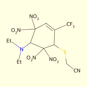 CCN(CC)C1C([N+](=O)[O-])([N+](=O)[O-])C=C(C(F)(F)F)C(SCC#N)C1([N+](=O)[O-])[N+](=O)[O-]